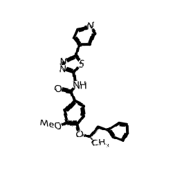 COc1cc(C(=O)Nc2nnc(-c3ccncc3)s2)ccc1O[C@@H](C)Cc1ccccc1